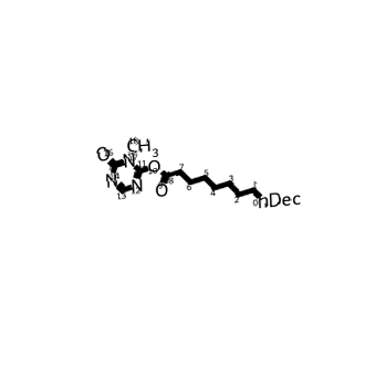 CCCCCCCCCCCCCCCCCC(=O)Oc1ncnc(=O)n1C